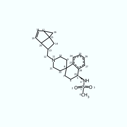 CS(=O)(=O)N[C@H]1CCC2(CCN(CC3CC45CC4C=CC35)CC2)c2ccccc21